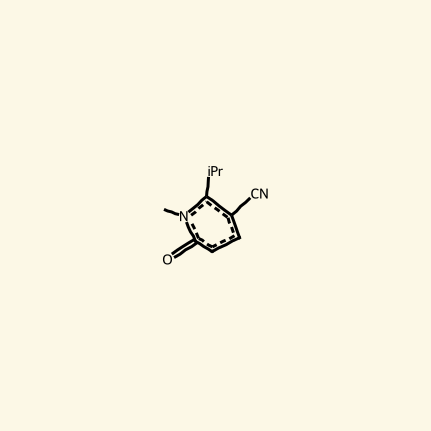 CC(C)c1c(C#N)ccc(=O)n1C